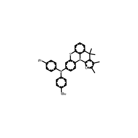 Cc1oc2c(c1C)C(C)(C)c1cccc3c1B2c1ccc(N(c2ccc(C(C)C)cc2)c2ccc(C(C)(C)C)cc2)cc1S3